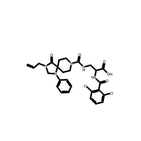 C=CCN1CN(c2ccccc2)C2(CCN(C(=O)NCC(NC(=O)c3c(Cl)cccc3Cl)C(=O)O)CC2)C1=O